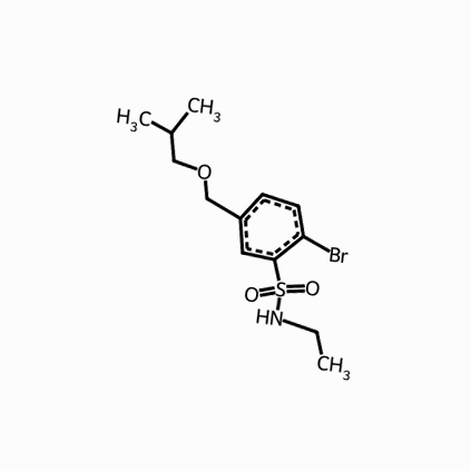 CCNS(=O)(=O)c1cc(COCC(C)C)ccc1Br